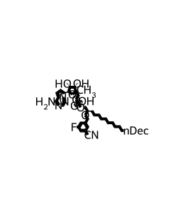 CCCCCCCCCCCCCCCCCCCC[C@H](COP(=O)(O)OC[C@@]1(C)O[C@@H](c2ccc3c(N)ncnn23)[C@H](O)[C@@H]1O)OCc1cc(F)cc(C#N)c1